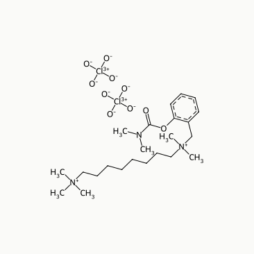 CN(C)C(=O)Oc1ccccc1C[N+](C)(C)CCCCCCCC[N+](C)(C)C.[O-][Cl+3]([O-])([O-])[O-].[O-][Cl+3]([O-])([O-])[O-]